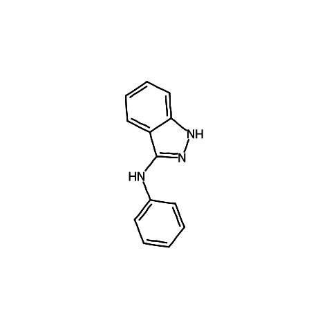 c1ccc(Nc2n[nH]c3ccccc23)cc1